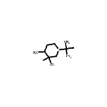 CC1CCN(C(C)(C)I)CC1(C)F